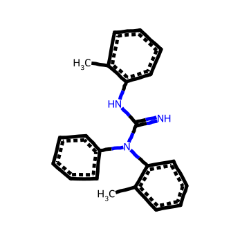 Cc1ccccc1NC(=N)N(c1ccccc1)c1ccccc1C